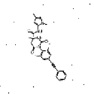 Cc1cc(NC(=O)C2(C)CC(=O)N(c3c(F)cc(C#Cc4ccccc4)cc3F)C(=O)N2)n(C)n1